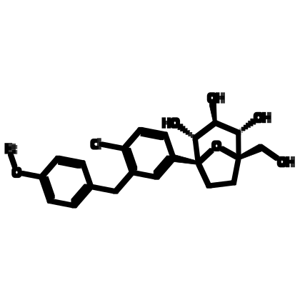 CCOc1ccc(Cc2cc([C@]34CC[C@](CO)(O3)[C@@H](O)[C@H](O)[C@H]4O)ccc2Cl)cc1